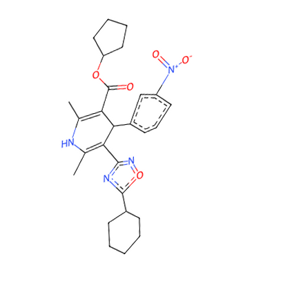 CC1=C(C(=O)OC2CCCC2)C(c2cccc([N+](=O)[O-])c2)C(c2noc(C3CCCCC3)n2)=C(C)N1